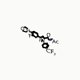 CC(=O)/C=C/C(=O)c1cc(-c2ccc(N3CCOCC3)c(F)c2)nn1-c1ccc(C(F)(F)F)cc1